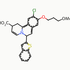 COCCCOc1cc2c(cc1Cl)=C1CC(C(=O)O)C=CN1C(c1cc3ccccc3s1)C=2